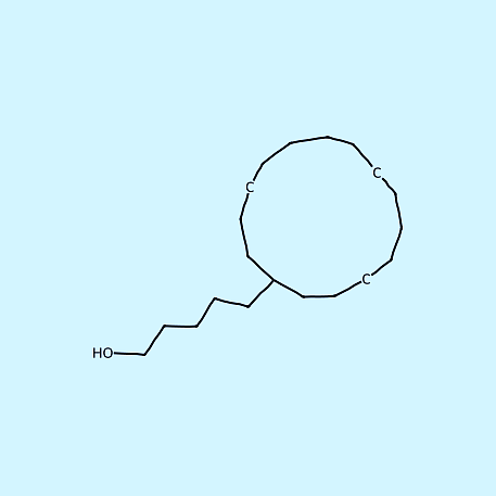 OCCCCCC1CCCCCCCCCCCCCC1